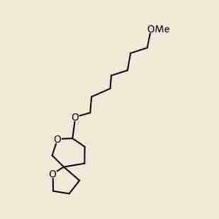 COCCCCCCCOC1CCC2(CCCO2)CO1